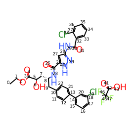 CCOC(=O)[C@H](O)C[C@@H](Cc1ccc(-c2cccc(Cl)c2)cc1)NC(=O)c1cc(NC(=O)c2ccccc2Cl)n[nH]1.O=C(O)C(F)(F)F